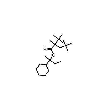 CCC(C)(OC(=O)C(C)(CC(C)(C)C)C(C)(C)C)C1CCCCC1